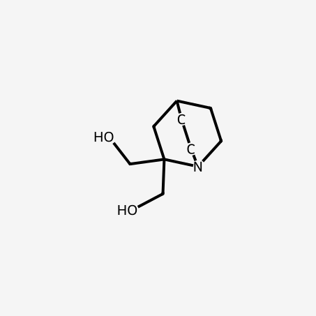 OCC1(CO)CC2CCN1CC2